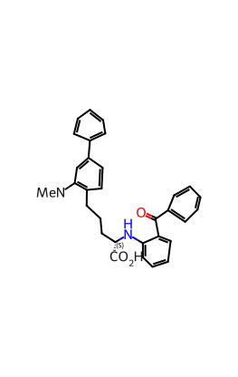 CNc1cc(-c2ccccc2)ccc1CCC[C@H](Nc1ccccc1C(=O)c1ccccc1)C(=O)O